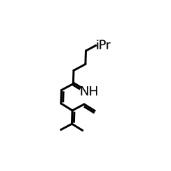 C=CC(/C=C\C(=N)CCCC(C)C)=C(C)C